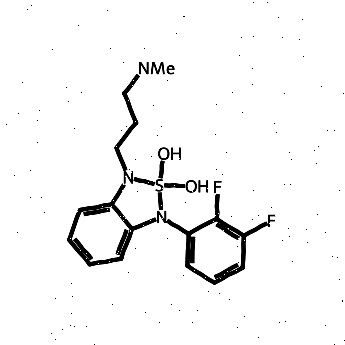 CNCCCN1c2ccccc2N(c2cccc(F)c2F)S1(O)O